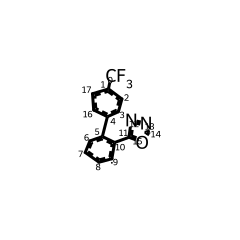 FC(F)(F)c1ccc(-c2ccc[c]c2-c2nnco2)cc1